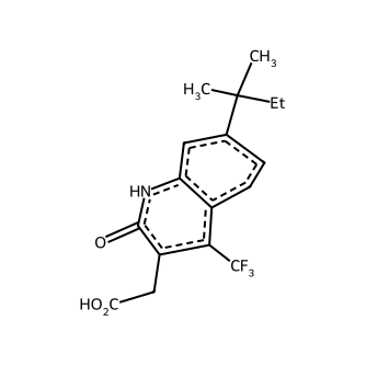 CCC(C)(C)c1ccc2c(C(F)(F)F)c(CC(=O)O)c(=O)[nH]c2c1